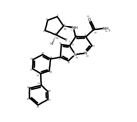 C[C@]1(F)CCC[C@H]1Nc1c(C(N)=O)cnn2cc(-c3cccc(-c4ccccc4)c3)cc12